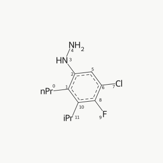 CCCc1c(NN)cc(Cl)c(F)c1C(C)C